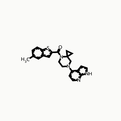 Cc1ccc2sc(C(=O)N3CCN(c4ccnc5[nH]ccc45)CC34CC4)cc2c1